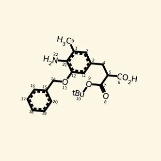 Cc1cc(CC(C(=O)O)C(=O)OC(C)(C)C)cc(OCc2ccccc2)c1N